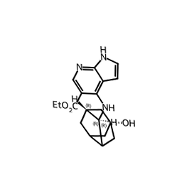 CCOC(=O)c1cnc2[nH]ccc2c1N[C@H]1C2C[C@@]3(O)CC2C[C@@H]1C3